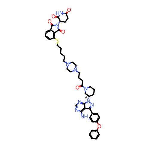 Nc1ncnc2c1c(-c1ccc(Oc3ccccc3)cc1)nn2[C@@H]1CCCN(C(=O)CCCN2CCN(CCCCCSc3cccc4c3C(=O)N(C3CCC(=O)NC3=O)C4=O)CC2)C1